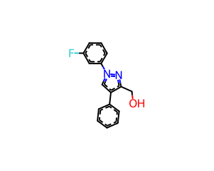 OCc1nn(-c2cccc(F)c2)cc1-c1ccccc1